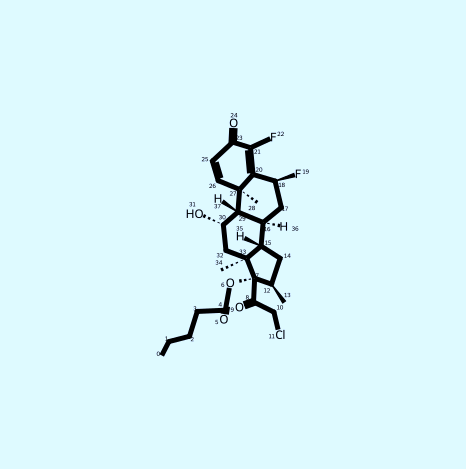 CCCCC(=O)O[C@@]1(C(=O)CCl)[C@H](C)C[C@H]2[C@@H]3C[C@H](F)C4=C(F)C(=O)C=C[C@]4(C)[C@H]3[C@@H](O)C[C@@]21C